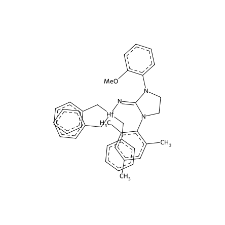 COc1ccccc1N1CCN(c2c(C)cc(C)cc2C)/C1=[N]\[Hf]([CH2]c1ccccc1)([CH2]c1ccccc1)[CH2]c1ccccc1